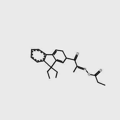 CCC(=O)O/N=C(\C)C(=O)C1C=C2C(=CC1)c1ccccc1C2(CC)CC